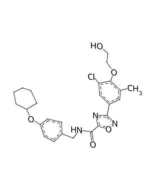 Cc1cc(-c2noc(C(=O)NCc3ccc(OC4CCCCC4)cc3)n2)cc(Cl)c1OCCO